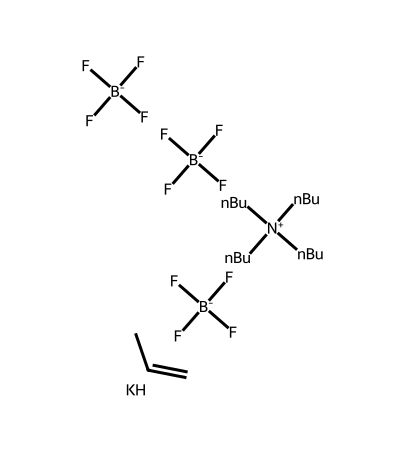 C=CC.CCCC[N+](CCCC)(CCCC)CCCC.F[B-](F)(F)F.F[B-](F)(F)F.F[B-](F)(F)F.[KH]